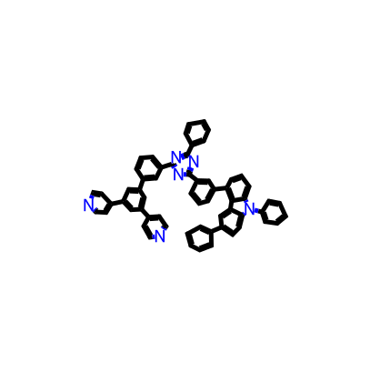 c1ccc(-c2ccc3c(c2)c2c(-c4cccc(-c5nc(-c6ccccc6)nc(-c6cccc(-c7cc(-c8ccncc8)cc(-c8ccncc8)c7)c6)n5)c4)cccc2n3-c2ccccc2)cc1